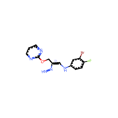 N=N/C(=C\Nc1ccc(F)c(Br)c1)COc1ncccn1